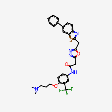 CN(C)CCCOc1ccc(NC(=O)Cc2nnc(Cc3nc4ccc(-c5ccccc5)cc4s3)o2)cc1C(F)(F)F